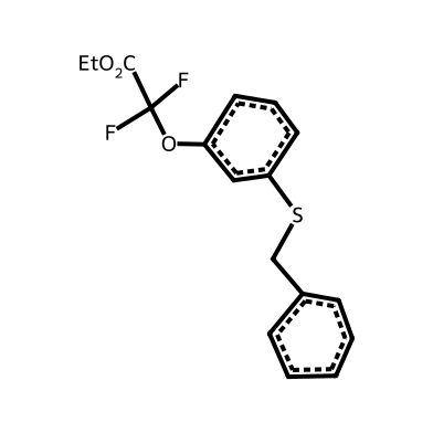 CCOC(=O)C(F)(F)Oc1cccc(SCc2ccccc2)c1